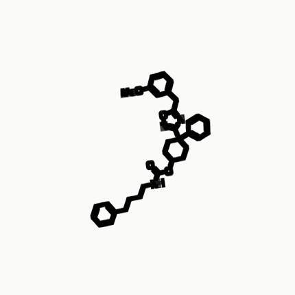 COc1cccc(Cc2nc(C3(c4ccccc4)CCC(OC(=O)NCCCCc4ccccc4)CC3)no2)c1